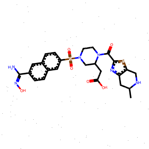 CC1Cc2nc(C(=O)N3CCN(S(=O)(=O)c4ccc5cc(/C(N)=N\O)ccc5c4)CC3CC(=O)O)sc2CN1